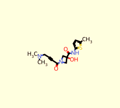 Cc1ccc(NC(=O)C2(O)CN(C(=O)C#CCN(C)C)C2)s1